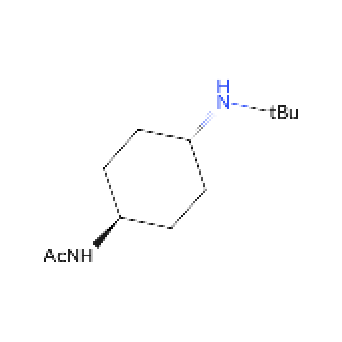 CC(=O)N[C@H]1CC[C@H](NC(C)(C)C)CC1